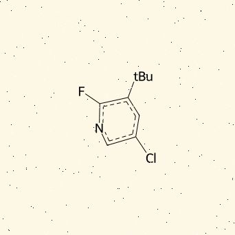 CC(C)(C)c1cc(Cl)cnc1F